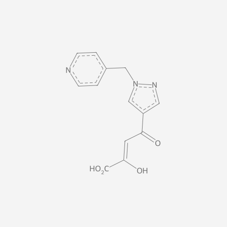 O=C(O)C(O)=CC(=O)c1cnn(Cc2ccncc2)c1